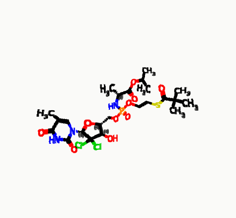 Cc1cn([C@@H]2O[C@H](COP(=O)(N[C@H](C)C(=O)OC(C)C)OCCSC(=O)C(C)(C)C)[C@@H](O)C2(Cl)Cl)c(=O)[nH]c1=O